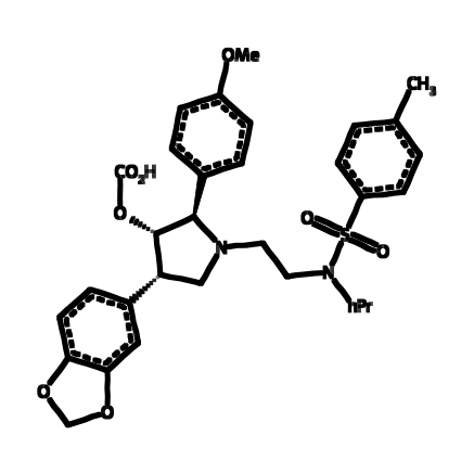 CCCN(CCN1C[C@H](c2ccc3c(c2)OCO3)[C@H](OC(=O)O)[C@H]1c1ccc(OC)cc1)S(=O)(=O)c1ccc(C)cc1